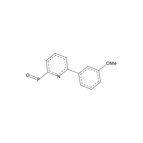 COc1cccc(-c2cccc(P=O)n2)c1